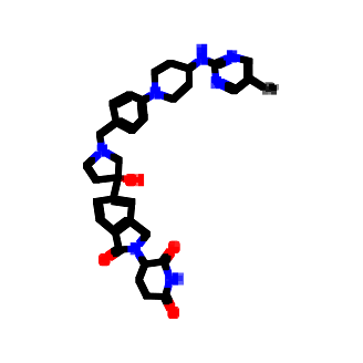 CC(C)c1cnc(NC2CCN(c3ccc(CN4CC[C@](O)(c5ccc6c(c5)CN(C5CCC(=O)NC5=O)C6=O)C4)cc3)CC2)nc1